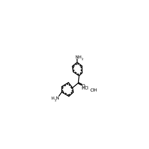 Cl.Cl.Nc1ccc(C(=O)c2ccc(N)cc2)cc1